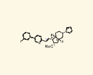 CO[C@H]1C[C@H]2CC(n3cccc3)CC[C@H]2[C@@H]1/C=C/c1ccc(-c2cccc(F)c2)cn1